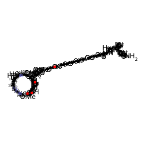 CO[C@H]1C[C@@H]2CC[C@@H](C)[C@@](O)(O2)C(=O)C(=O)N2CCCC[C@H]2C(=O)O[C@H]([C@H](N)C[C@@H]2CC[C@@H](OC(=O)NCCOCCOCCOCCOCCOCCOCCOCCOCCOCCOCCC(=O)NCc3ncc(Cn4nc(-c5ccc6oc(N)nc6c5)c5cncnc54)cn3)[C@H](OC)C2)C[C@@H](O)[C@H](C)/C=C(\C)[C@@H](O)[C@@H](O)C(=O)[C@H](C)C[C@H](C)/C=C/C=C/C=C/1C